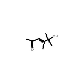 CC(=O)/C=C(\C)C(C)(C)O